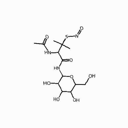 CC(=O)NC(C(=O)NC1OC(CO)C(O)C(O)C1O)C(C)(C)SN=O